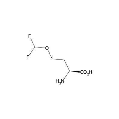 N[C@@H](CCOC(F)F)C(=O)O